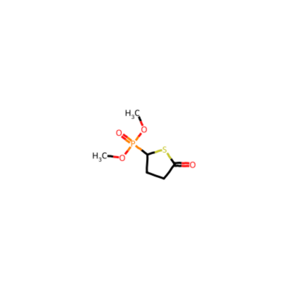 COP(=O)(OC)C1CCC(=O)S1